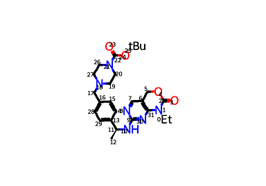 CCN1C(=O)OCc2cnc(N[C@@H](C)c3ccc(CN4CCN(C(=O)OC(C)(C)C)CC4)cc3)nc21